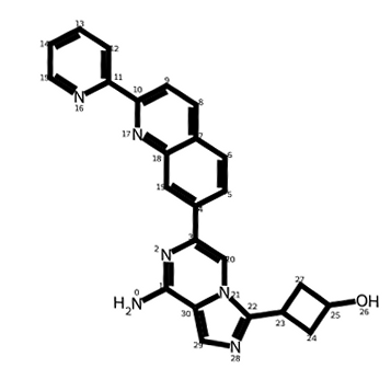 Nc1nc(-c2ccc3ccc(-c4ccccn4)nc3c2)cn2c(C3CC(O)C3)ncc12